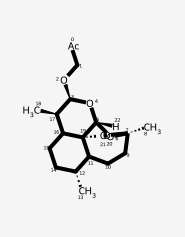 CC(=O)CO[C@H]1O[C@@H]2O[C@]3(C)CCC4[C@H](C)CCC([C@H]1C)[C@]42OO3